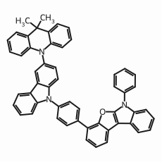 CC1(C)c2ccccc2N(c2ccc3c(c2)c2ccccc2n3-c2ccc(-c3cccc4c3oc3c4c4ccccc4n3-c3ccccc3)cc2)c2ccccc21